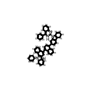 C1=CC[C@@H](N2c3c(cc(-c4ccc(-c5ccc6c7c(n([C@H]8N=C9C=CCCC9=C(c9ccccc9)N8)c6c5)C=CCC7)c5ccccc45)c4ccccc34)[C@@H]3C=CC=CC32)C=C1